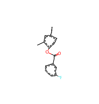 Cc1ccc(OC(=O)c2cccc(F)c2)c(C)c1